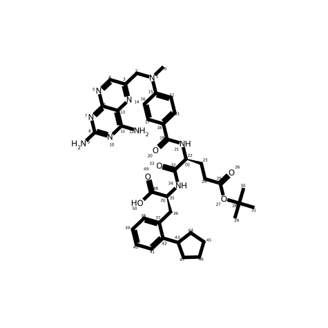 CN(Cc1cnc2nc(N)nc(N)c2n1)c1ccc(C(=O)N[C@@H](CCC(=O)OC(C)(C)C)C(=O)N[C@@H](Cc2ccccc2C2CCCC2)C(=O)O)cc1